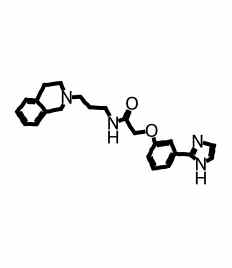 O=C(COc1cccc(-c2ncc[nH]2)c1)NCCCN1CCc2ccccc2C1